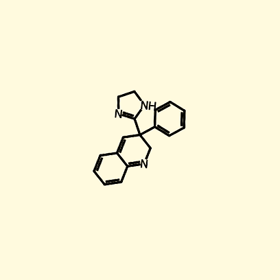 C1=c2ccccc2=NCC1(C1=NCCN1)c1ccccc1